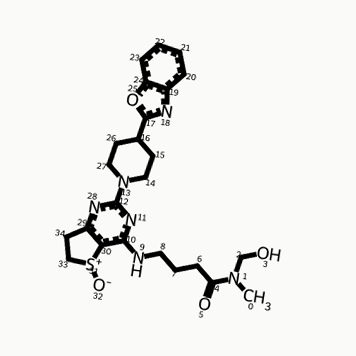 CN(CO)C(=O)CCCNc1nc(N2CCC(c3nc4ccccc4o3)CC2)nc2c1[S+]([O-])CC2